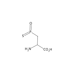 NC(CP(=O)=S)C(=O)O